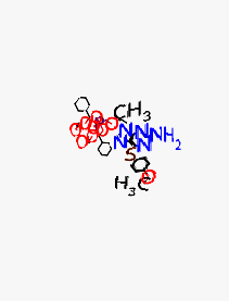 COc1ccc(Sc2nc(N)nc3c2ncn3CC(C)OCP(=O)(OC(OC=O)C2CCCCC2)OC(OC=O)C2CCCCC2)cc1